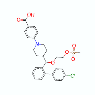 CS(=O)(=O)OCCO[C@@H](c1ccccc1-c1ccc(Cl)cc1)C1CCN(c2ccc(C(=O)O)cc2)CC1